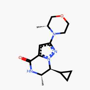 C[C@@H]1NC(=O)c2cc(N3CCOC[C@H]3C)nn2[C@H]1C1CC1